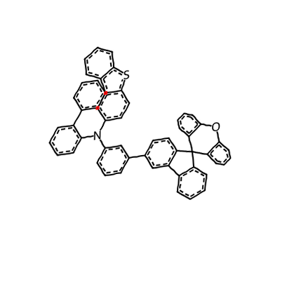 c1ccc(-c2ccccc2N(c2cccc(-c3ccc4c(c3)-c3ccccc3C43c4ccccc4Oc4ccccc43)c2)c2ccc3sc4ccccc4c3c2)cc1